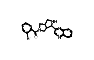 O=C(c1ccccc1Br)N1CC2CNC(c3cnc4ccccc4n3)C2C1